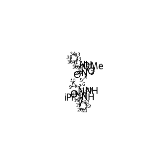 COC(=O)N(CCC[C@@H](C1CC1)N1C(=N)N[C@](CC(C)C)(c2ccccc2)C1=O)C(=O)[C@@H](N)Cc1ccccc1